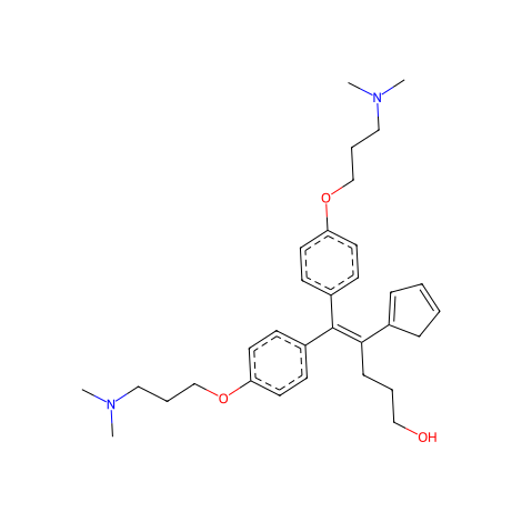 CN(C)CCCOc1ccc(C(=C(CCCO)C2=CC=CC2)c2ccc(OCCCN(C)C)cc2)cc1